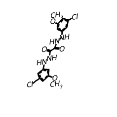 COc1cc(Cl)cc(NNC(=O)C(=O)NNc2cc(Cl)cc(OC)c2)c1